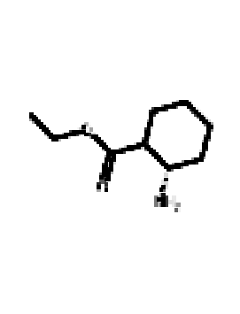 CCOC(=O)C1CCCC[C@@H]1N